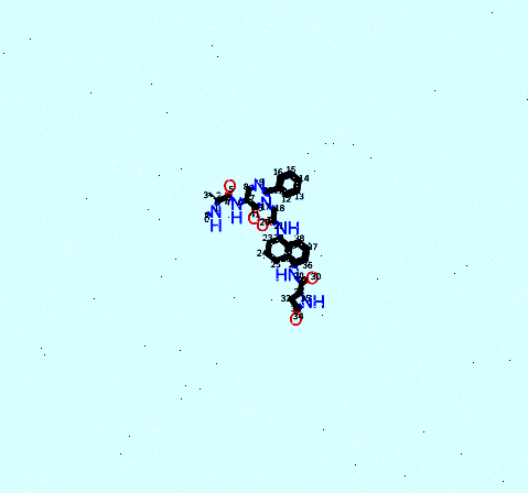 CN[C@@H](C)C(=O)NC1CN=C(c2ccccc2)N(CC(=O)NC2CCCc3c(NC(=O)C4CC(=O)N4)cccc32)C1=O